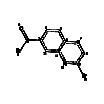 O=C(Br)c1ccc2ncc(Br)nc2c1